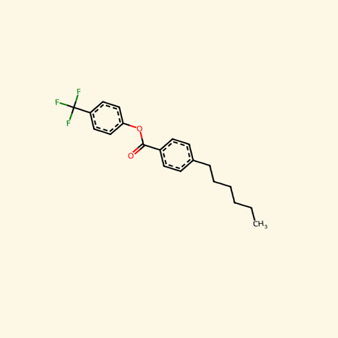 CCCCCCc1ccc(C(=O)Oc2ccc(C(F)(F)F)cc2)cc1